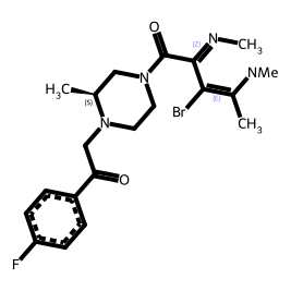 C/N=C(C(=O)N1CCN(CC(=O)c2ccc(F)cc2)[C@@H](C)C1)\C(Br)=C(\C)NC